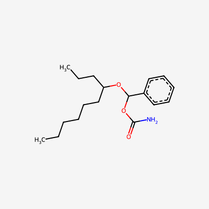 CCCCCCC(CCC)OC(OC(N)=O)c1ccccc1